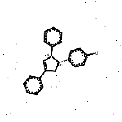 Clc1ccc([C@@H]2CC(c3ccccc3)=C[C@H]2c2ccccc2)cc1